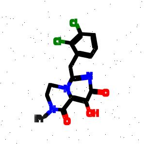 CC(C)N1CCn2c(Cc3cccc(Cl)c3Cl)nc(=O)c(O)c2C1=O